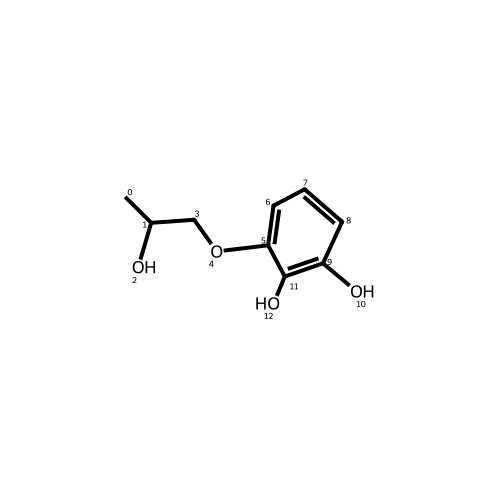 CC(O)COc1cccc(O)c1O